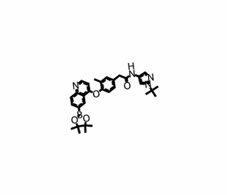 Cc1cc(CC(=O)Nc2cnn(C(C)(C)C)c2)ccc1Oc1ccnc2ccc(B3OC(C)(C)C(C)(C)O3)cc12